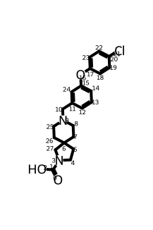 O=C(O)N1CCC2(CCN(Cc3cccc(Oc4ccc(Cl)cc4)c3)CC2)C1